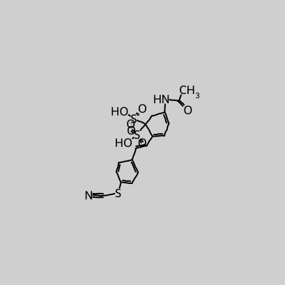 CC(=O)NC1=CC=C(C=Cc2ccc(SC#N)cc2)C(S(=O)(=O)O)(S(=O)(=O)O)C1